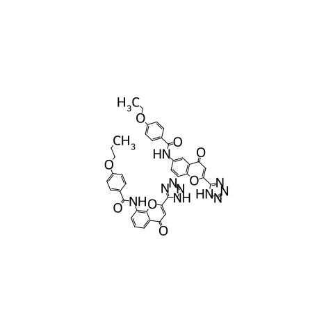 CCCOc1ccc(C(=O)Nc2cccc3c(=O)cc(-c4nnn[nH]4)oc23)cc1.CCOc1ccc(C(=O)Nc2ccc3oc(-c4nnn[nH]4)cc(=O)c3c2)cc1